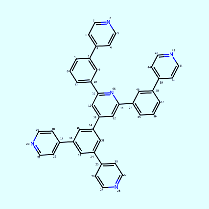 c1cc(-c2ccncc2)cc(-c2cc(-c3cc(-c4ccncc4)cc(-c4ccncc4)c3)cc(-c3cccc(-c4ccncc4)c3)n2)c1